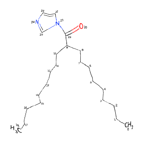 CCCCCCCCCC(CCCCCCCCC)C(=O)n1ccnc1